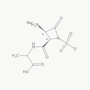 CC(NC(=O)[C@H]1[C@@H](N)C(=O)N1S(=O)(=O)[O-])C(=O)O.[Na+]